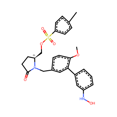 COc1ccc(CN2C(=O)CC[C@H]2COS(=O)(=O)c2ccc(C)cc2)cc1-c1cccc(NO)c1